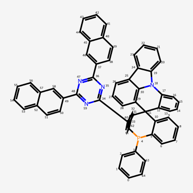 c1ccc(P2c3ccccc3C3(c4ccccc4-n4c5ccccc5c5cccc3c54)c3cc(-c4nc(-c5ccc6ccccc6c5)nc(-c5ccc6ccccc6c5)n4)ccc32)cc1